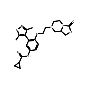 Cc1noc(C)c1-c1cc(NC(=O)C2CC2)ccc1OCCN1CCN2C(=O)OCC2C1